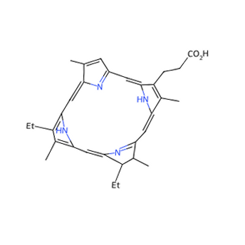 CCc1c(C)c2cc3nc(cc4[nH]c(cc5nc(cc1[nH]2)C(C)=C5)c(CCC(=O)O)c4C)C(C)C3CC